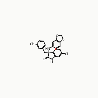 O=C1Nc2cc(Cl)ccc2C1(Cc1cccc(Cl)c1)Nc1ccc2c(c1)OCO2